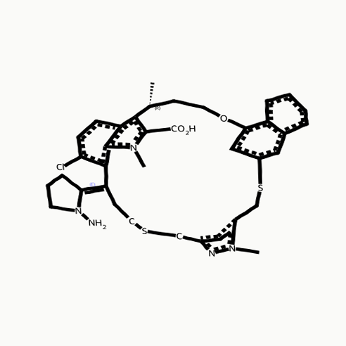 C[C@@H]1CCOc2cc(cc3ccccc23)SCc2cc(nn2C)CSCC/C(=C2/CCCN2N)c2c(Cl)ccc3c1c(C(=O)O)n(C)c23